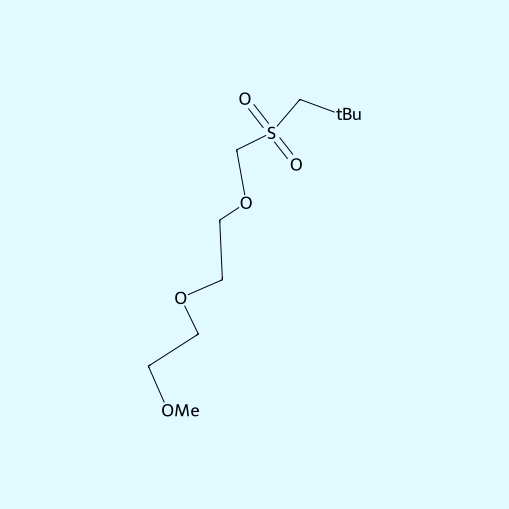 COCCOCCOCS(=O)(=O)CC(C)(C)C